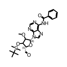 COC1C(O[Si](C)(C)C(C)(C)C)[C@@H](C=O)O[C@H]1n1cnc2c(NC(=O)c3ccccc3)ncnc21